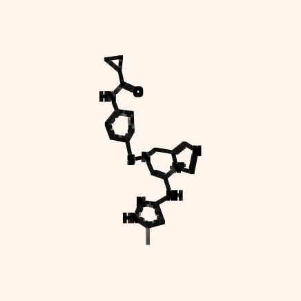 Cc1cc(NC2=CN(Sc3ccc(NC(=O)C4CC4)cc3)CC3=CN=C[N+]32)n[nH]1